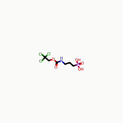 O=C(NCCCP(=O)(O)O)OCC(Cl)(Cl)Cl